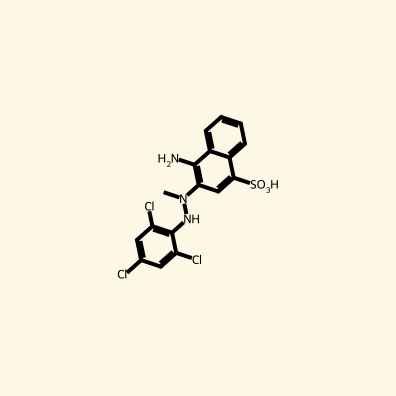 CN(Nc1c(Cl)cc(Cl)cc1Cl)c1cc(S(=O)(=O)O)c2ccccc2c1N